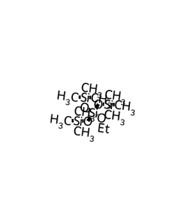 CCO[Si](O[Si](C)(C)C)(O[Si](C)(C)C)O[Si](C)(C)C